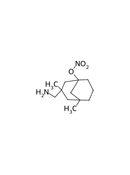 CC1(CN)CC2(C)CCCC(O[N+](=O)[O-])(C1)C2